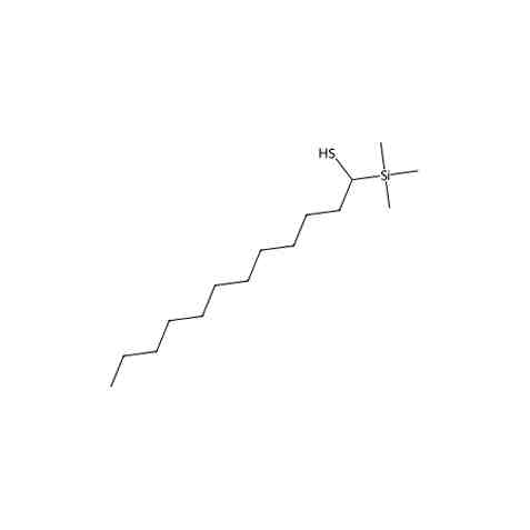 CCCCCCCCCCCC(S)[Si](C)(C)C